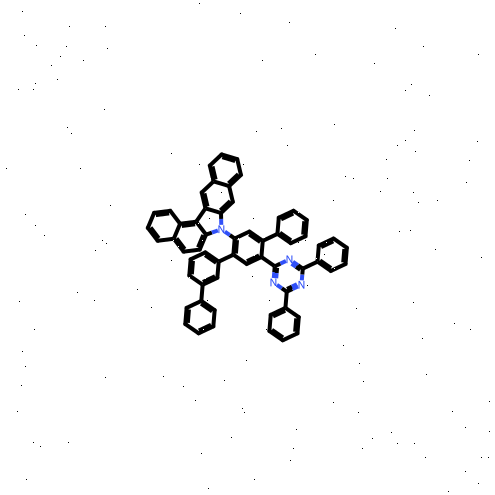 c1ccc(-c2cccc(-c3cc(-c4nc(-c5ccccc5)nc(-c5ccccc5)n4)c(-c4ccccc4)cc3-n3c4cc5ccccc5cc4c4c5ccccc5ccc43)c2)cc1